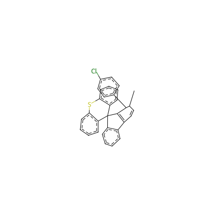 CC1C=CC2=C(C1c1ccc(Cl)cc1)C1(c3ccccc3Sc3ccccc31)c1ccccc12